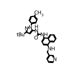 Cc1ccc(-n2nc(C(C)(C)C)cc2NC(=O)Nc2ccc(NCc3cccnc3)c3ccccc23)cc1